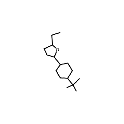 CCC1CCC(C2CCC(C(C)(C)C)CC2)O1